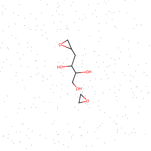 C1CO1.OCC(O)C(O)CC1CO1